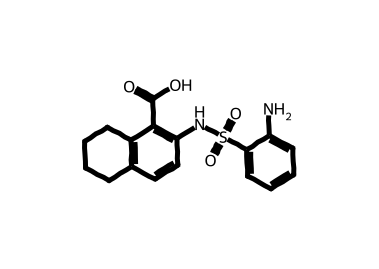 Nc1ccccc1S(=O)(=O)Nc1ccc2c(c1C(=O)O)CCCC2